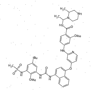 COc1cc(Nc2cc(Oc3ccc(NC(=O)Nc4cc(C(C)(C)C)cc(NS(C)(=O)=O)c4OC)c4ccccc34)ccn2)ccc1C(=O)NC(C)N1CCNCC1C